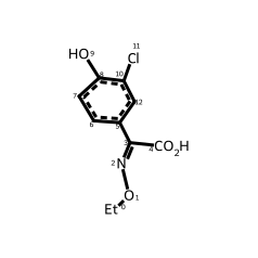 CCO/N=C(\C(=O)O)c1ccc(O)c(Cl)c1